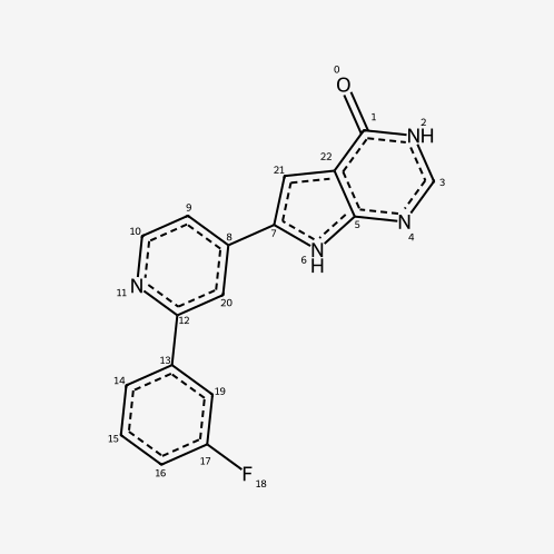 O=c1[nH]cnc2[nH]c(-c3ccnc(-c4cccc(F)c4)c3)cc12